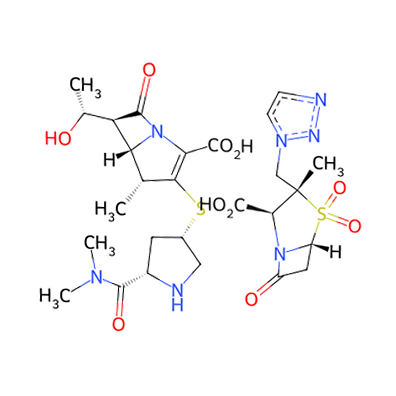 C[C@@H](O)[C@H]1C(=O)N2C(C(=O)O)=C(S[C@@H]3CN[C@H](C(=O)N(C)C)C3)[C@H](C)[C@H]12.C[C@]1(Cn2ccnn2)[C@H](C(=O)O)N2C(=O)C[C@H]2S1(=O)=O